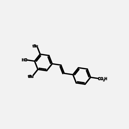 CC(C)(C)c1cc(C=Cc2ccc(C(=O)O)cc2)cc(C(C)(C)C)c1O